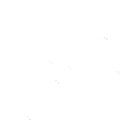 C1=CCC(c2cccc(-c3nc(-c4cccc(-c5cccnc5)c4)nc(-c4cccc(-c5cccnc5)c4)n3)c2)=CN=C1